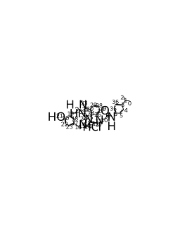 CC(C)c1ccc(NC(=O)CN(Cc2cn(Cc3ccc(O)cc3)cn2)c2cccc(C(=N)N)c2)cc1.Cl